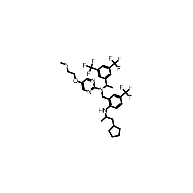 CSCCOc1cnc(N(Cc2cc(C(F)(F)F)ccc2NC(C)CC2CCCC2)C(C)c2cc(C(F)(F)F)cc(C(F)(F)F)c2)nc1